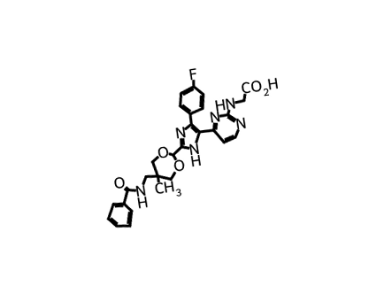 CC1(CNC(=O)c2ccccc2)COC(c2nc(-c3ccc(F)cc3)c(-c3ccnc(NCC(=O)O)n3)[nH]2)OC1